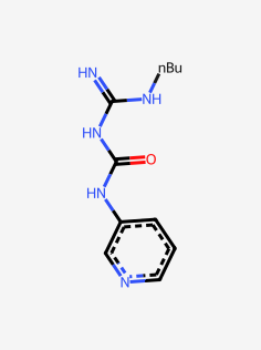 CCCCNC(=N)NC(=O)Nc1cccnc1